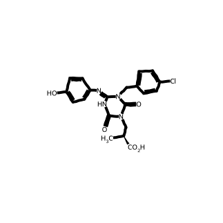 C[C@@H](Cn1c(=O)[nH]/c(=N\c2ccc(O)cc2)n(Cc2ccc(Cl)cc2)c1=O)C(=O)O